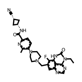 CCN1C(=O)Nc2c(F)c(CN3CCN(c4ccc(C(=O)N[C@H]5C[C@@H](C#N)C5)nc4C)CC3)cc3ncnc1c23